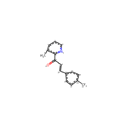 Cc1cccnc1C(=O)C=Cc1ccc(C(F)(F)F)cc1